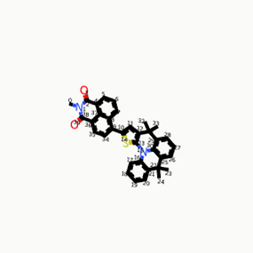 CN1C(=O)c2cccc3c(-c4cc5c(s4)N4c6ccccc6C(C)(C)c6cccc(c64)C5(C)C)ccc(c23)C1=O